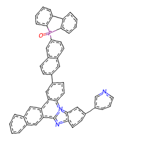 O=P1(c2ccc3cc(-c4ccc5c(c4)c4cc6ccccc6cc4c4nc6ccc(-c7cccnc7)cc6n54)ccc3c2)c2ccccc2-c2ccccc21